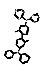 Cc1cc(N(c2ccccc2)c2ccccc2)ccc1-c1ccc(N(c2ncncn2)c2ncncn2)cc1C